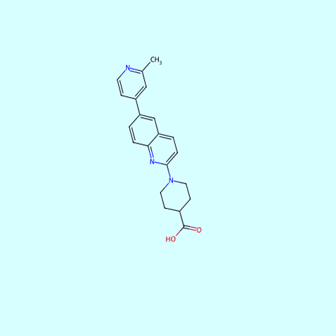 Cc1cc(-c2ccc3nc(N4CCC(C(=O)O)CC4)ccc3c2)ccn1